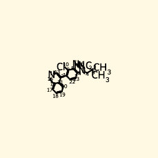 CC(C)(C)Cn1nnc2c(Cl)c(-c3cncc4ccccc34)ccc21